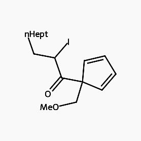 CCCCCCCCC(I)C(=O)C1(COC)C=CC=C1